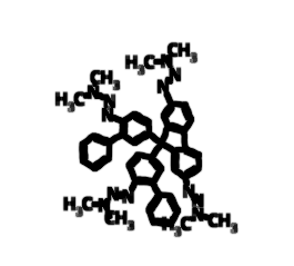 CN(C)/N=N/c1ccc2c(c1)C(c1ccc(/N=N/N(C)C)c(-c3ccccc3)c1)(c1ccc(/N=N/N(C)C)c(-c3ccccc3)c1)c1cc(/N=N/N(C)C)ccc1-2